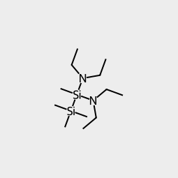 CCN(CC)[Si](C)(N(CC)CC)[Si](C)(C)C